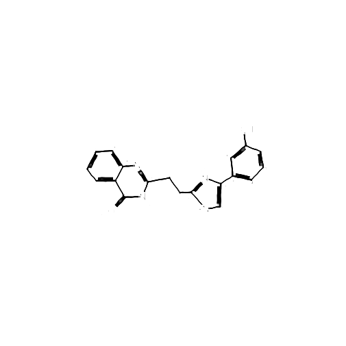 Cc1cccc(-c2c[nH]c(CCc3nc4ccccc4c(=O)[nH]3)n2)c1